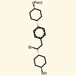 CCCCC[C@H]1CC[C@H](c2ccc(CC(Br)[C@H]3CC[C@H](CCC)CC3)cc2)CC1